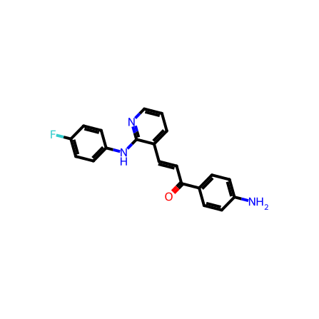 Nc1ccc(C(=O)/C=C/c2cccnc2Nc2ccc(F)cc2)cc1